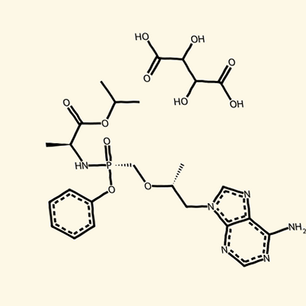 CC(C)OC(=O)[C@H](C)N[P@](=O)(CO[C@H](C)Cn1cnc2c(N)ncnc21)Oc1ccccc1.O=C(O)C(O)C(O)C(=O)O